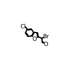 O=CC(Br)c1cc2cc(Cl)ccc2o1